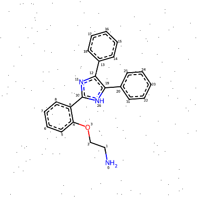 NCCOc1ccccc1-c1nc(-c2ccccc2)c(-c2ccccc2)[nH]1